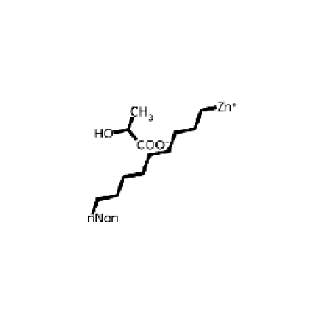 CC(O)C(=O)[O-].CCCCCCCCCCCCCCCCC[CH2][Zn+]